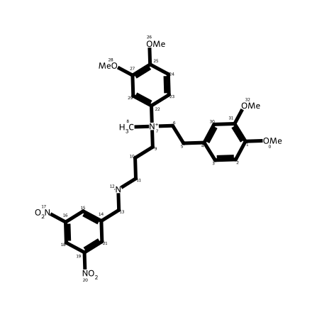 COc1ccc(CC[N+](C)(CCC[N]Cc2cc([N+](=O)[O-])cc([N+](=O)[O-])c2)c2ccc(OC)c(OC)c2)cc1OC